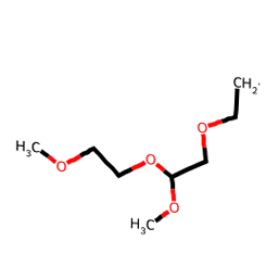 [CH2]COCC(OC)OCCOC